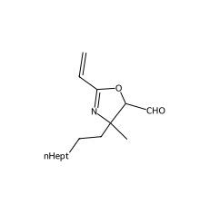 C=CC1=NC(C)(CCCCCCCCC)C(C=O)O1